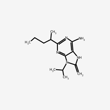 C=C1Nc2c(N)nc(C(C)CCC)nc2N1C(C)C